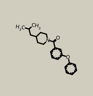 C[C](C)CC1CCN(C(=O)c2cccc(Oc3ccccc3)c2)CC1